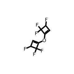 FC1C=C(OC2=CC(F)C2(F)F)C1(F)F